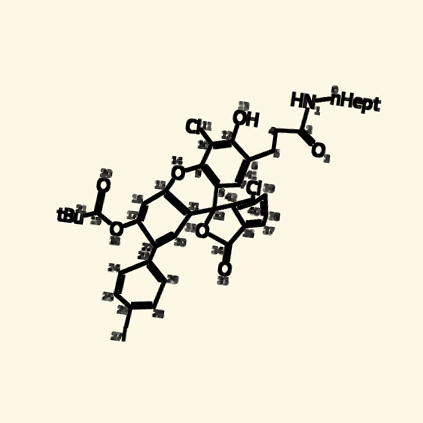 CCCCCCCNC(=O)CCc1cc2c(c(Cl)c1O)Oc1cc(OC(=O)C(C)(C)C)c(-c3ccc(I)cc3)cc1C21OC(=O)c2cccc(Cl)c21